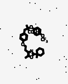 Cc1oc(C2(C)CCCCC2)nc1CCOc1ccc(CC(C)(Oc2ccc(OC(F)(F)F)cc2)C(=O)O)cc1